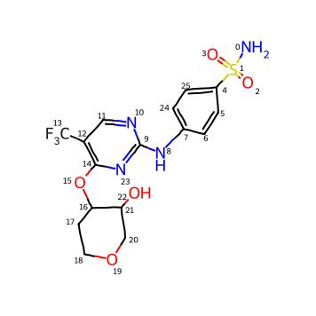 NS(=O)(=O)c1ccc(Nc2ncc(C(F)(F)F)c(OC3CCOCC3O)n2)cc1